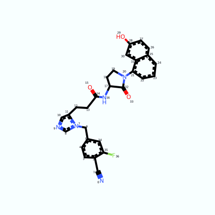 N#Cc1ccc(Cn2cncc2CCC(=O)NC2CCN(c3cccc4ccc(O)cc34)C2=O)cc1F